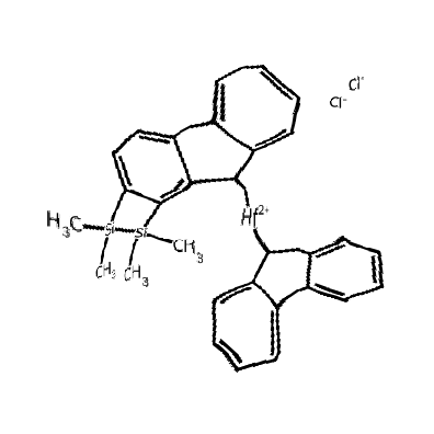 C[Si]1(C)c2ccc3c(c2[Si]1(C)C)[CH]([Hf+2][CH]1c2ccccc2-c2ccccc21)c1ccccc1-3.[Cl-].[Cl-]